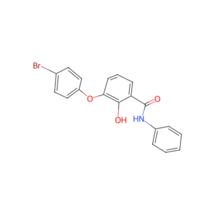 O=C(Nc1ccccc1)c1cccc(Oc2ccc(Br)cc2)c1O